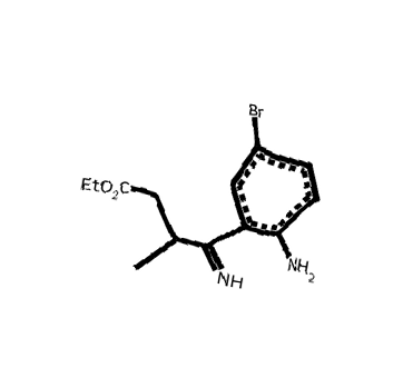 CCOC(=O)CC(C)C(=N)c1cc(Br)ccc1N